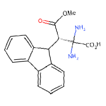 COC(=O)[C@@H](C1c2ccccc2-c2ccccc21)C(N)(N)C(=O)O